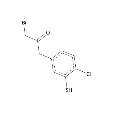 O=C(CBr)Cc1ccc(Cl)c(S)c1